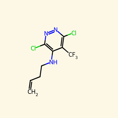 C=CCCNc1c(Cl)nnc(Cl)c1C(F)(F)F